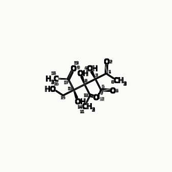 CC(=O)[C@](O)(C(=O)I)[C@](O)(C(C)=O)[C@](O)(CO)C(C)=O